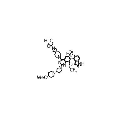 C=CC(=O)N1CC2(CCN(c3nc(N4CC[C@@H](N5CCC(OC)CC5)C4)nc4c(OCC(F)(F)F)c(-c5c(C)ccc6[nH]ncc56)c(C5CC5)cc34)CC2)C1